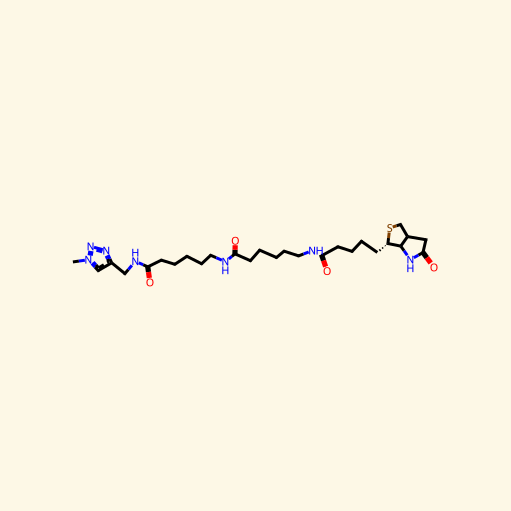 Cn1cc(CNC(=O)CCCCCNC(=O)CCCCCNC(=O)CCCC[C@@H]2SCC3CC(=O)NC32)nn1